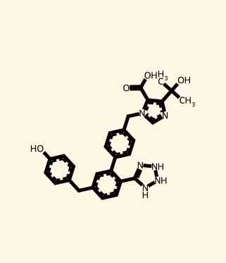 CC(C)(O)c1ncn(Cc2ccc(-c3cc(Cc4ccc(O)cc4)ccc3C3=NNNN3)cc2)c1C(=O)O